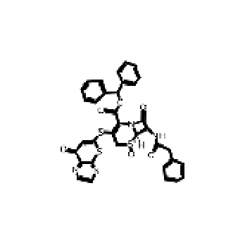 O=C(Cc1ccccc1)NC1C(=O)N2C(C(=O)OC(c3ccccc3)c3ccccc3)=C(Sc3cc(=O)c4nccnc4s3)C[S+]([O-])[C@H]12